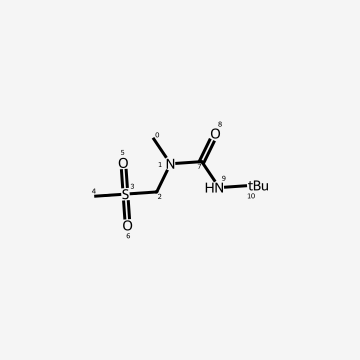 CN(CS(C)(=O)=O)C(=O)NC(C)(C)C